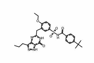 CCCc1n[nH]c2c(=O)[nH]c(Cc3cc(S(=O)(=O)NC(=O)c4ccc(C(C)(C)C)cc4)ccc3OCC)nc12